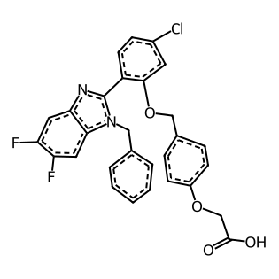 O=C(O)COc1ccc(COc2cc(Cl)ccc2-c2nc3cc(F)c(F)cc3n2Cc2ccccc2)cc1